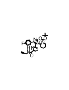 C#CCNC(=O)c1csc(-c2c(-c3ccc(F)cc3)ncn2C2CCCCN2C(=O)OC(C)(C)C)n1